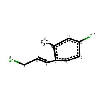 Fc1ccc(/C=C/CBr)c(C(F)(F)F)c1